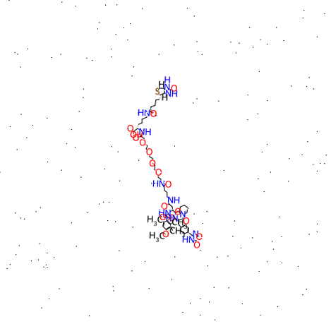 COc1cc(C)c(S(=O)(=O)N[C@@H](CC(=O)NCCCC(=O)NCCOCCOCCOCCOCC(=O)N[C@@H](CCCCNC(=O)CCCC[C@@H]2SC[C@@H]3NC(=O)N[C@@H]32)C(=O)O)C(=O)N[C@H](Cc2ccc(-c3noc(=O)[nH]3)cc2)C(=O)N2CCCCC2)c(C)c1C